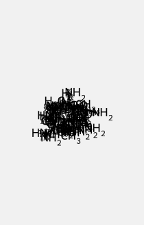 CC(C)C[C@H](NC(=O)[C@H](C)NC(=O)[C@H](CCCCN)NC(=O)[C@H](CCCCN)NC(=O)[C@H](CC(C)C)NC(=O)[C@H](C)NC(=O)[C@H](CCCCN)NC(=O)[C@H](CC(C)C)NC(=O)[C@H](C)NC(=O)[C@@H](N)CCCCN)C(=O)N[C@@H](CCCCN)C(=O)N[C@@H](C)C(=O)N[C@@H](CC(C)C)C(=O)N[C@@H](CCCCN)C(=O)N[C@@H](CC(=O)O)C(=O)NCC(=O)N[C@@H](CCCNC(=N)N)C(=O)O